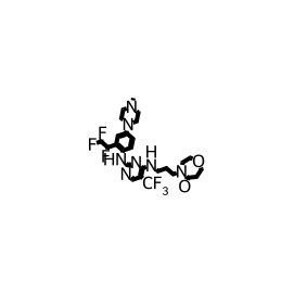 CN1CCN(c2ccc(Nc3ncc(C(F)(F)F)c(NCCCN4CCOCCC4=O)n3)c(C(F)C(F)F)c2)CC1